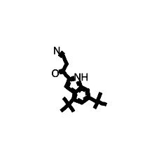 CC(C)(C)c1cc(C(C)(C)C)c2cc(C(=O)CC#N)[nH]c2c1